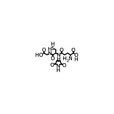 NC(CCC(=O)NC(CS)C(=O)NCC(=O)O)C(=O)O.O=C1C=CC(=O)N1